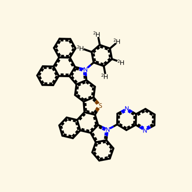 [2H]c1c([2H])c([2H])c(-n2c3cc4sc5c(c4cc3c3c4ccccc4c4ccccc4c32)c2ccccc2c2c3ccccc3n(-c3cnc4cccnc4c3)c52)c([2H])c1[2H]